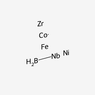 [BH2][Nb].[Co].[Fe].[Ni].[Zr]